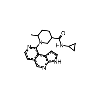 CC1CCC(C(=O)NC2CC2)CN1c1nccc2cnc3[nH]ccc3c12